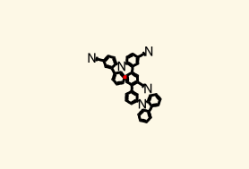 N#Cc1ccc(-n2c3ccccc3c3cc(C#N)ccc32)c(-c2ccc(-c3cccc(-n4c5ccccc5c5ccccc54)c3)c(C#N)c2)c1